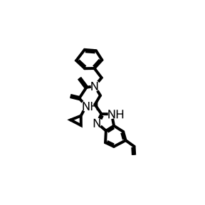 C=Cc1ccc2nc(CCN(Cc3ccccc3)C(=C)C(=C)NC3CC3)[nH]c2c1